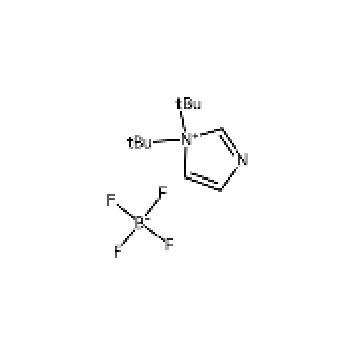 CC(C)(C)[N+]1(C(C)(C)C)C=CN=C1.F[B-](F)(F)F